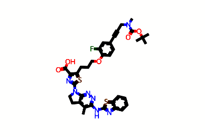 Cc1c(Nc2nc3ccccc3s2)nnc2c1CCN2c1nc(C(=O)O)c(CCCOc2ccc(C#CCN(C)C(=O)OC(C)(C)C)cc2F)s1